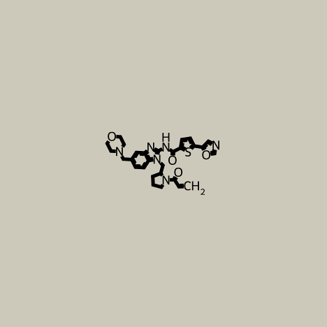 C=CC(=O)N1CCCC1Cn1c(NC(=O)c2ccc(-c3cnco3)s2)nc2cc(CN3CCOCC3)ccc21